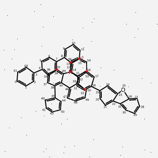 c1ccc(-c2ccc(-c3ccccc3N(c3ccc(-c4ccc5c(c4)oc4ccccc45)cc3)c3cccc(-c4ccccc4)c3-c3ccccc3-c3ccccc3)cc2)cc1